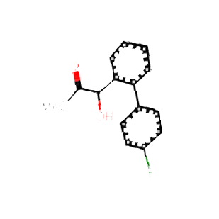 COC(=O)C(O)c1ccccc1-c1ccc(F)cc1